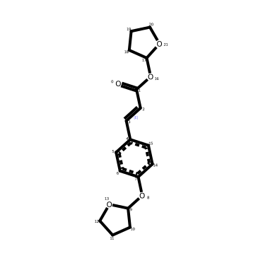 O=C(/C=C/c1ccc(OC2CCCO2)cc1)OC1CCCO1